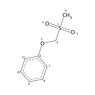 CS(=O)(=O)COc1ccccc1